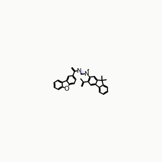 C=C(/N=C/N(C)c1cc2c(cc1C(=C)C)-c1ccccc1C2(C)C)c1ccc2oc3ccccc3c2c1